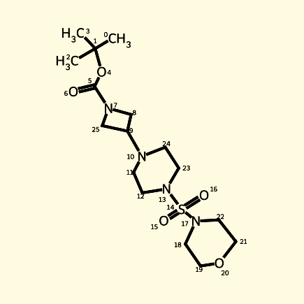 CC(C)(C)OC(=O)N1CC(N2CCN(S(=O)(=O)N3CCOCC3)CC2)C1